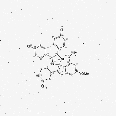 COc1ccc(C2(C(=O)N3CCNC(C)C3)NC(c3ccc(Cl)cc3)C(c3ccc(Cl)cc3)N2)c(OC(C)C)c1